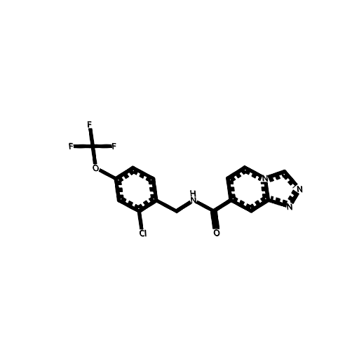 O=C(NCc1ccc(OC(F)(F)F)cc1Cl)c1ccn2cnnc2c1